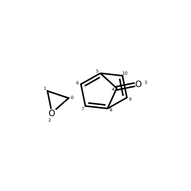 C1CO1.O=C1C2=CC=C1C=C2